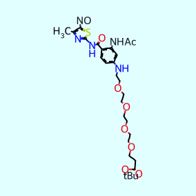 CC(=O)Nc1cc(NCCOCCOCCOCCOCCC(=O)OC(C)(C)C)ccc1C(=O)Nc1nc(C)c(N=O)s1